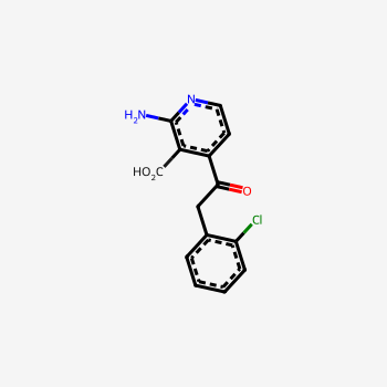 Nc1nccc(C(=O)Cc2ccccc2Cl)c1C(=O)O